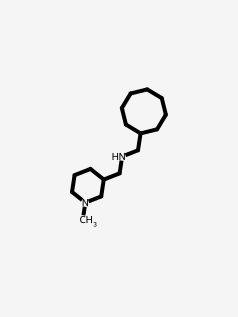 CN1CCCC(CNCC2CCCCCCC2)C1